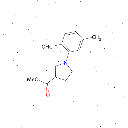 COC(=O)C1CCN(c2cc(C)ccc2C=O)C1